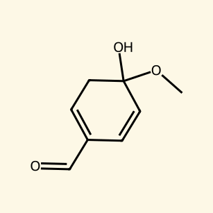 COC1(O)C=CC(C=O)=CC1